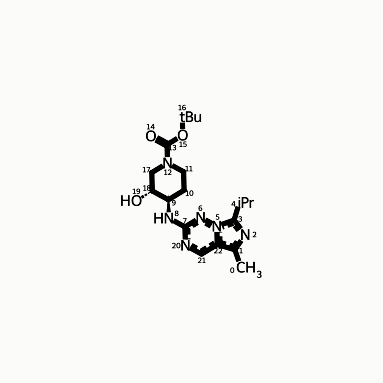 Cc1nc(C(C)C)n2nc(N[C@@H]3CCN(C(=O)OC(C)(C)C)C[C@H]3O)ncc12